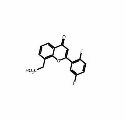 O=C(O)Cc1cccc2c(=O)cc(-c3cc(F)ccc3F)oc12